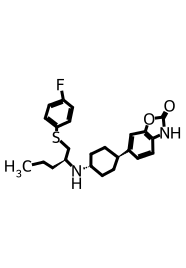 CCC[C@@H](CSc1ccc(F)cc1)N[C@H]1CC[C@H](c2ccc3[nH]c(=O)oc3c2)CC1